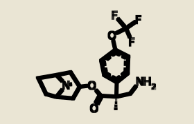 CN1C2CCC1CC(OC(=O)[C@](C)(CN)c1ccc(OC(F)(F)F)cc1)C2